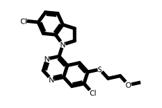 COCCSc1cc2c(N3CCc4ccc(Cl)cc43)ncnc2cc1Cl